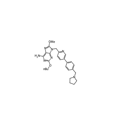 CCCCOc1nc(N)c2nc(OC)n(Cc3ccc(-c4ccc(CN5CCCC5)cc4)cn3)c2n1